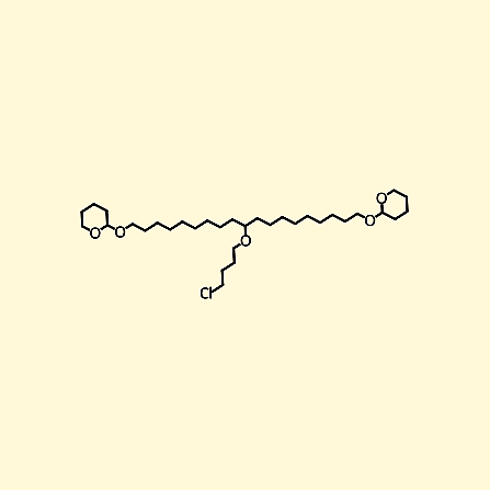 ClCCCCOC(CCCCCCCCCOC1CCCCO1)CCCCCCCCCOC1CCCCO1